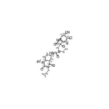 CC(C)n1c(=O)n(CC2CC2)c(=O)c2cc(NC(=O)N3CCOC(C(N)=O)(c4ccc(C#N)c(Cl)c4F)C3)ccc21